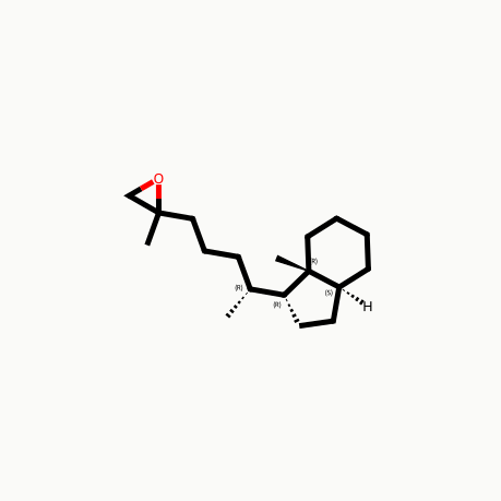 C[C@H](CCCC1(C)CO1)[C@H]1CC[C@@H]2CCCC[C@]21C